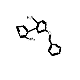 Nc1ccccc1-c1cc(OCc2ccccc2)ccc1N